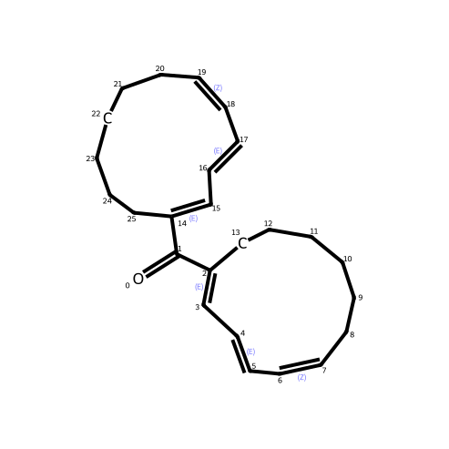 O=C(/C1=C/C=C/C=C\CCCCCC1)/C1=C/C=C/C=C\CCCCCC1